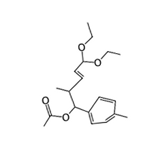 CCOC(C=CC(C)C(OC(C)=O)c1ccc(C)cc1)OCC